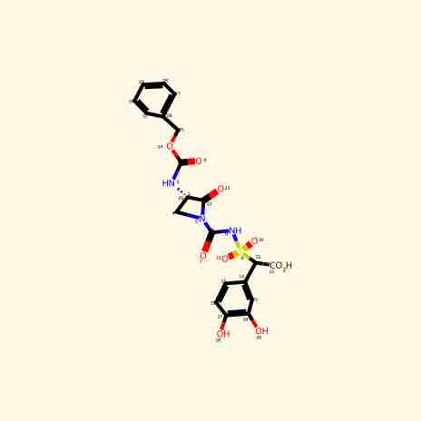 O=C(N[C@H]1CN(C(=O)NS(=O)(=O)C(C(=O)O)c2ccc(O)c(O)c2)C1=O)OCc1ccccc1